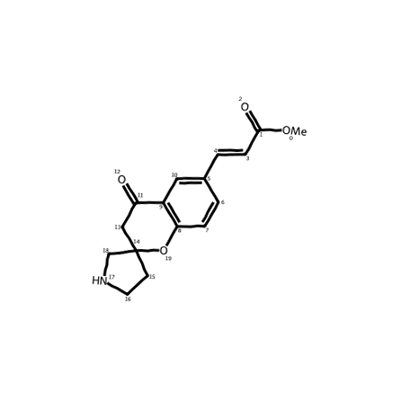 COC(=O)C=Cc1ccc2c(c1)C(=O)CC1(CCNC1)O2